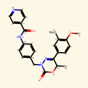 CCOc1ccc(C2=NN(Cc3ccc(NC(=O)c4ccncc4)cc3)C(=O)OC2CC)cc1OC